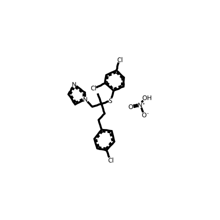 CC(CCc1ccc(Cl)cc1)(Cn1ccnc1)Sc1ccc(Cl)cc1Cl.O=[N+]([O-])O